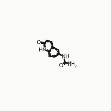 NC(=O)Nc1ccc2[nH]c(=O)ccc2c1